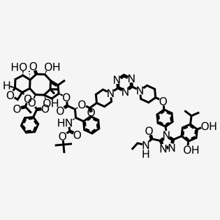 CCNC(=O)c1nnc(-c2cc(C(C)C)c(O)cc2O)n1-c1ccc(OC2CCN(c3ncnc(N4CCC(C(=O)O[C@@H](C(=O)O[C@H]5C[C@@]6(O)[C@@H](OC(=O)c7ccccc7)C7[C@](C)(C(=O)[C@H](O)C(=C5C)C6(C)C)[C@@H](O)C[C@H]5OC[C@@]75OC(C)=O)[C@@H](NC(=O)OC(C)(C)C)c5ccccc5)CC4)n3)CC2)cc1